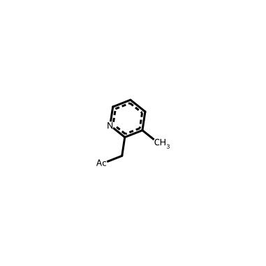 CC(=O)Cc1ncccc1C